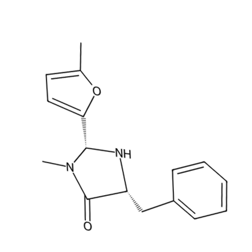 Cc1ccc([C@@H]2N[C@H](Cc3ccccc3)C(=O)N2C)o1